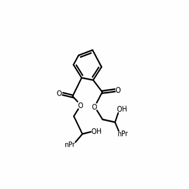 CCCC(O)COC(=O)c1ccccc1C(=O)OCC(O)CCC